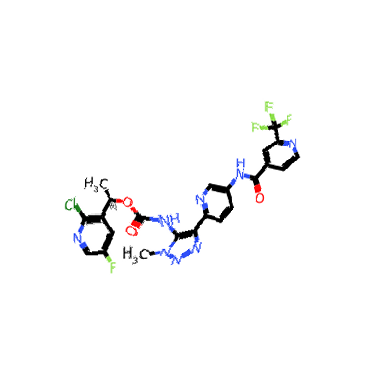 C[C@@H](OC(=O)Nc1c(-c2ccc(NC(=O)c3ccnc(C(F)(F)F)c3)cn2)nnn1C)c1cc(F)cnc1Cl